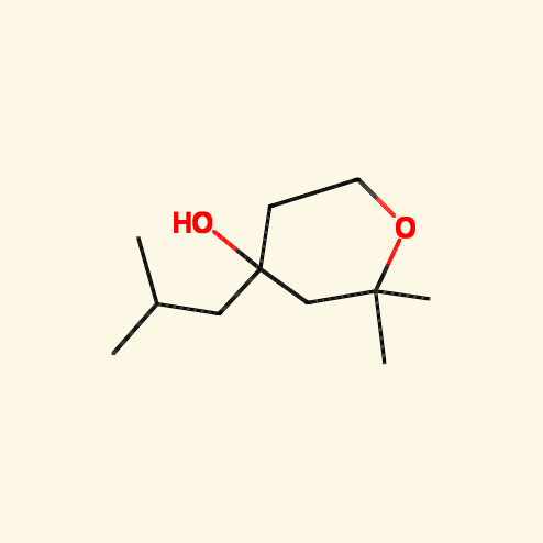 CC(C)CC1(O)CCOC(C)(C)C1